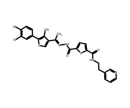 C/C(=N\NC(=O)c1ccc(C(=O)NCCc2cccnc2)s1)c1csc(-c2ccc(Cl)c(Cl)c2)c1O